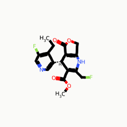 CCc1c(F)cncc1[C@H]1C(C(=O)OC)=C(CF)NC2=C1C(=O)OC2